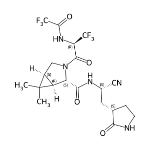 CC1(C)[C@@H]2[C@@H](C(=O)N[C@H](C#N)C[C@@H]3CCNC3=O)N(C(=O)[C@@H](NC(=O)C(F)(F)F)C(F)(F)F)C[C@@H]21